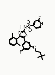 Cc1cccc(C)c1-c1nc(NS(=O)(=O)c2ccnc(F)c2)sc1-c1cc(F)cc(OCCC(C)(C)C)c1